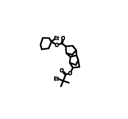 CCC1(OC(=O)C2CC3CC2C2C4CC(CC4OC(=O)C(C)(C)CC)C32)CCCCC1